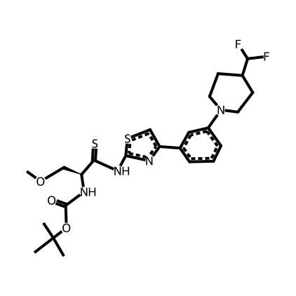 COC[C@H](NC(=O)OC(C)(C)C)C(=S)Nc1nc(-c2cccc(N3CCC(C(F)F)CC3)c2)cs1